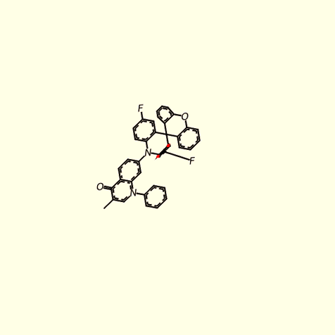 Cc1cn(-c2ccccc2)c2cc(N3c4ccc(F)cc4C4(c5ccccc5Oc5ccccc54)c4cc(F)ccc43)ccc2c1=O